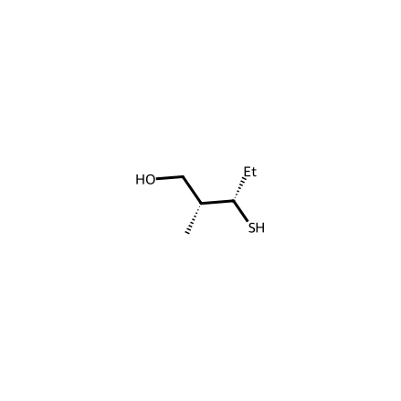 CC[C@H](S)[C@H](C)CO